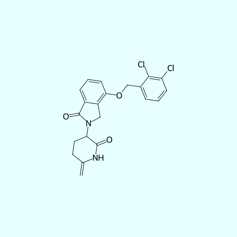 C=C1CCC(N2Cc3c(OCc4cccc(Cl)c4Cl)cccc3C2=O)C(=O)N1